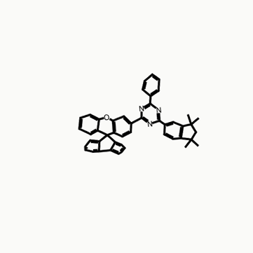 CC1(C)CC(C)(C)c2cc(-c3nc(-c4ccccc4)nc(-c4ccc5c(c4)Oc4ccccc4C54c5ccccc5-c5ccccc54)n3)ccc21